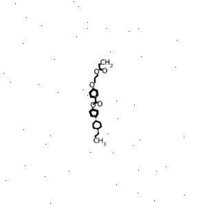 C=CC(=O)OCCCOc1ccc(C(=O)Oc2ccc([C@H]3CC[C@H](CCC)CC3)cc2)cc1